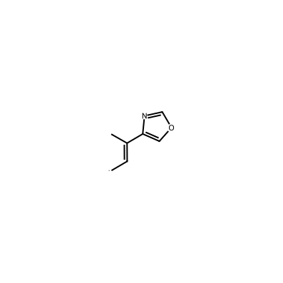 [CH2]C=C(C)c1cocn1